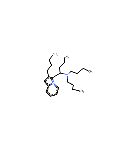 CCCCc1cc2ccccn2c1[C](CCC)N(CCCC)CCCC